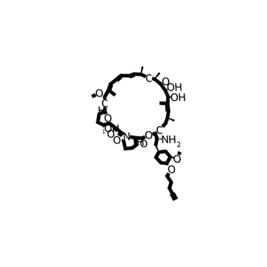 C#CCCCO[C@@H]1CC[C@@H](C[C@@H](N)[C@@H]2CC[C@H](C)/C=C(\C)[C@@H](O)[C@@H](O)C(=O)[C@H](C)C[C@H](C)/C=C/C=C/C=C(\C)[C@@H](OC)C[C@@H]3CC[C@@H](C)[C@@](O)(O3)C(=O)C(=O)N3CCCC[C@H]3C(=O)O2)C[C@H]1OC